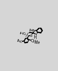 COc1ccc(C(C)=O)cc1CSC1(CC(=O)O)Nc2ccccc2N1